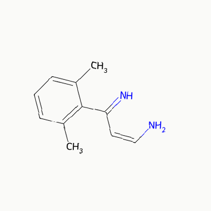 Cc1cccc(C)c1C(=N)/C=C\N